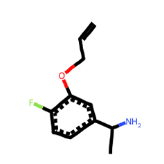 C=CCOc1cc(C(C)N)ccc1F